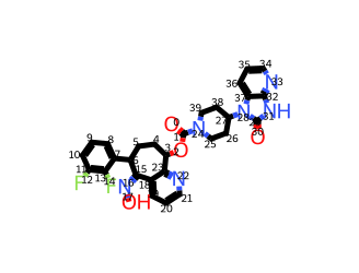 O=C(OC1CCC(c2cccc(F)c2F)C(=NO)c2cccnc21)N1CCC(n2c(=O)[nH]c3ncccc32)CC1